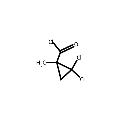 CC1(C(=O)Cl)CC1(Cl)Cl